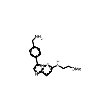 COCCNc1ccc2ncc(-c3ccc(CN)cc3)n2n1